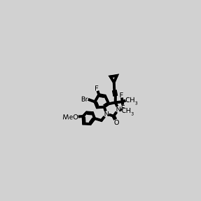 COc1ccc(CN2C(=O)N(C)C(C#CC3CC3)(C(C)(F)F)c3cc(F)c(Br)cc32)cc1